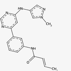 CC=CC(=O)Nc1cccc(-c2cc(Nc3cnn(C)c3)ncn2)c1